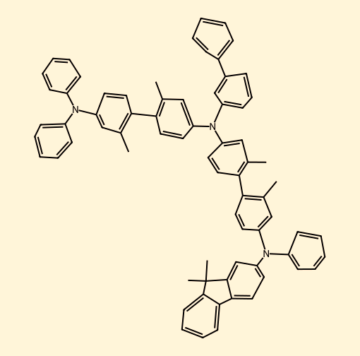 Cc1cc(N(c2ccccc2)c2ccccc2)ccc1-c1ccc(N(c2cccc(-c3ccccc3)c2)c2ccc(-c3ccc(N(c4ccccc4)c4ccc5c(c4)C(C)(C)c4ccccc4-5)cc3C)c(C)c2)cc1C